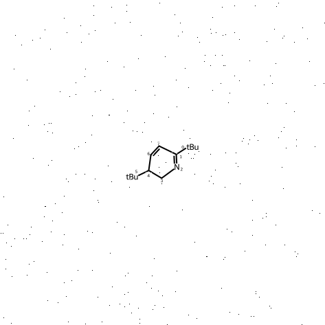 CC(C)(C)C1=NCC(C(C)(C)C)C=C1